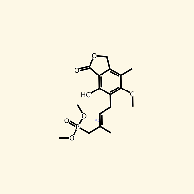 COc1c(C)c2c(c(O)c1C/C=C(\C)CP(=O)(OC)OC)C(=O)OC2